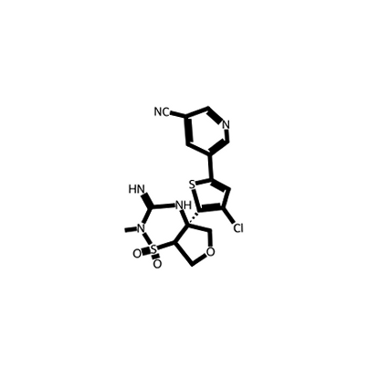 CN1C(=N)N[C@@]2(c3sc(-c4cncc(C#N)c4)cc3Cl)COCC2S1(=O)=O